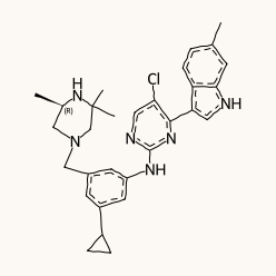 Cc1ccc2c(-c3nc(Nc4cc(CN5C[C@@H](C)NC(C)(C)C5)cc(C5CC5)c4)ncc3Cl)c[nH]c2c1